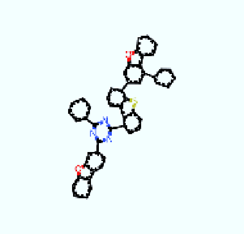 c1ccc(-c2nc(-c3ccc4c(c3)oc3ccccc34)nc(-c3cccc4sc5c(-c6cc(-c7ccccc7)c7c(c6)oc6ccccc67)cccc5c34)n2)cc1